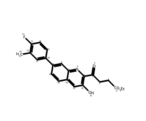 CCOC(=O)CCC(=O)c1nc2cc(-c3ccc(F)c(C)c3)ccc2cc1O